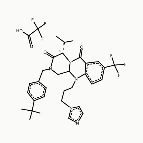 CC(C)[C@H]1C(=O)N(Cc2ccc(C(C)(C)C)cc2)CC2N(CCCn3ccnc3)c3ccc(C(F)(F)F)cc3C(=O)N21.O=C(O)C(F)(F)F